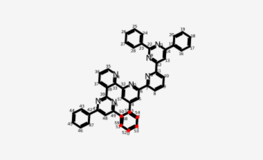 c1ccc(-c2cc(-c3cccc(-c4cc(-c5ccccc5)nc(-c5ccccc5)n4)n3)nc(-c3ncccc3-c3nc(-c4ccccc4)cc(-c4ccccc4)n3)c2)cc1